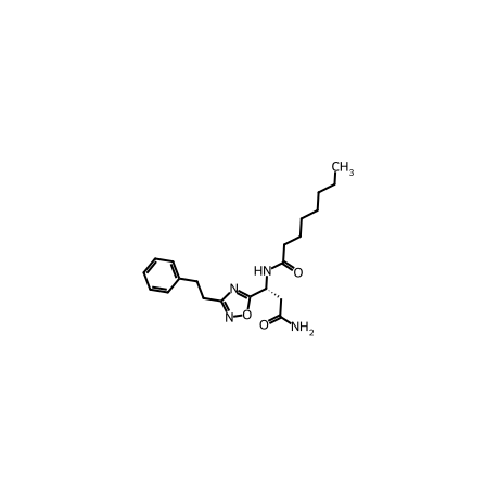 CCCCCCCC(=O)N[C@H](CC(N)=O)c1nc(CCc2ccccc2)no1